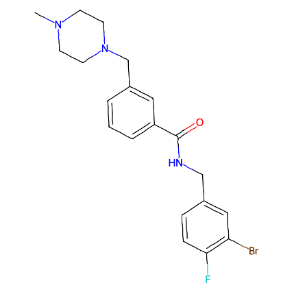 CN1CCN(Cc2cccc(C(=O)NCc3ccc(F)c(Br)c3)c2)CC1